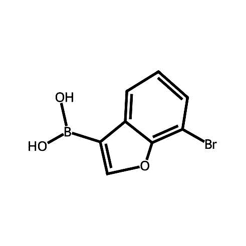 OB(O)c1coc2c(Br)cccc12